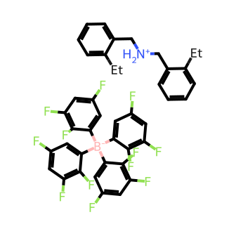 CCc1ccccc1C[NH2+]Cc1ccccc1CC.Fc1cc(F)c(F)c([B-](c2cc(F)cc(F)c2F)(c2cc(F)cc(F)c2F)c2cc(F)cc(F)c2F)c1